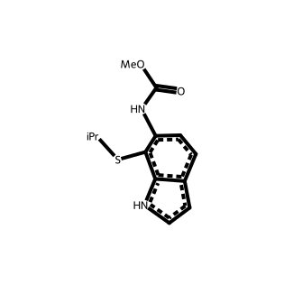 COC(=O)Nc1ccc2cc[nH]c2c1SC(C)C